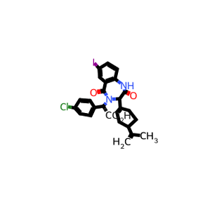 C=C(C)C1CC=C(C2C(=O)Nc3ccc(I)cc3C(=O)N2C(C(=O)O)c2ccc(Cl)cc2)CC1